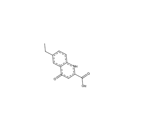 CCc1ccc2[nH]c(C(=O)O)cc(=O)c2c1